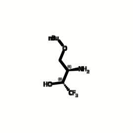 CCCCOC[C@@H](N)[C@@H](O)C(F)(F)F